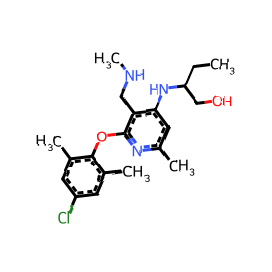 CCC(CO)Nc1cc(C)nc(Oc2c(C)cc(Cl)cc2C)c1CNC